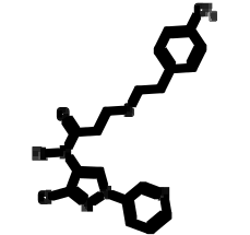 CCN(C(=O)CCSCCc1ccc(C(F)(F)F)cc1)c1cn(-c2cccnc2)nc1Cl